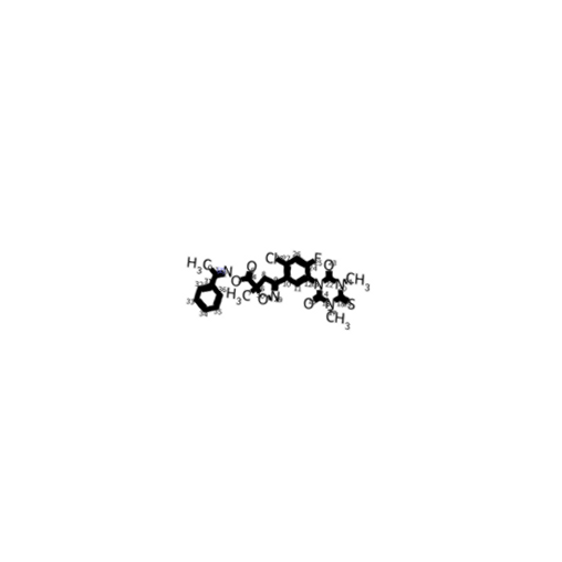 C/C(=N/OC(=O)C1(C)CC(c2cc(-n3c(=O)n(C)c(=S)n(C)c3=O)c(F)cc2Cl)=NO1)c1ccccc1